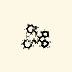 C(=NC(c1ccccc1)C(N=CN1CCCCCN1)c1ccccc1)N1CCCCCN1